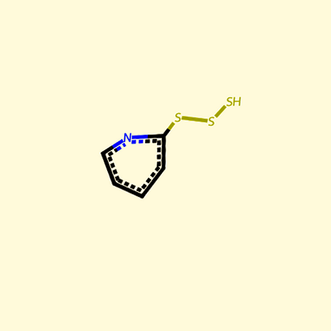 SSSc1ccccn1